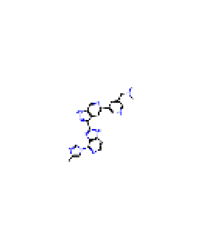 Cc1cn(-c2nccc3[nH]c(-c4n[nH]c5cnc(-c6cncc(CN(C)C)c6)cc45)nc23)cn1